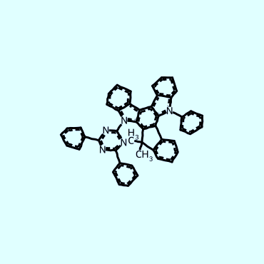 CC1(C)c2ccccc2-c2c1c1c(c3ccccc3n1-c1nc(-c3ccccc3)nc(-c3ccccc3)n1)c1c3ccccc3n(-c3ccccc3)c21